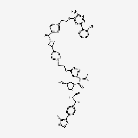 Cc1ncsc1-c1ccc([C@H](C)NC(=O)[C@@H]2C[C@@H](O)CN2C(=O)[C@@H](c2cc(OCCN3CCC(C4CN(C(=O)c5ccc(CCOc6cc(-c7ccccc7O)nnc6N)cc5)C4)CC3)no2)C(C)C)cc1